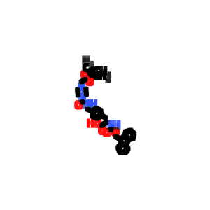 CCC(C)(CC)OC(=O)CN1CCN(C(=O)NCc2ccc(C[C@@H](NC(=O)OCC3c4ccccc4-c4ccccc43)C(=O)O)cc2)CC1